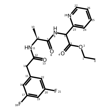 CCOC(=O)C(NC(=O)[C@H](C)NC(=O)Cc1cc(F)cc(F)c1)c1ccccn1